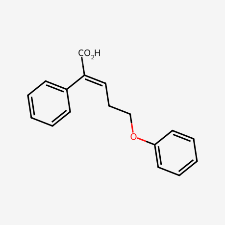 O=C(O)C(=CCCOc1ccccc1)c1ccccc1